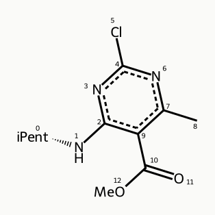 CCC[C@@H](C)Nc1nc(Cl)nc(C)c1C(=O)OC